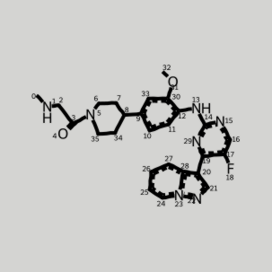 CNCC(=O)N1CCC(c2ccc(Nc3ncc(F)c(-c4cnn5ccccc45)n3)c(OC)c2)CC1